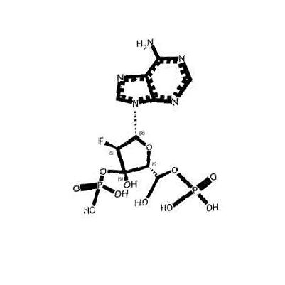 Nc1ncnc2c1ncn2[C@@H]1O[C@H](C(O)OP(=O)(O)O)[C@](O)(OP(=O)(O)O)[C@H]1F